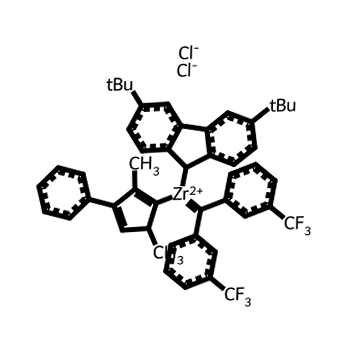 CC1=[C]([Zr+2](=[C](c2cccc(C(F)(F)F)c2)c2cccc(C(F)(F)F)c2)[CH]2c3ccc(C(C)(C)C)cc3-c3cc(C(C)(C)C)ccc32)C(C)C=C1c1ccccc1.[Cl-].[Cl-]